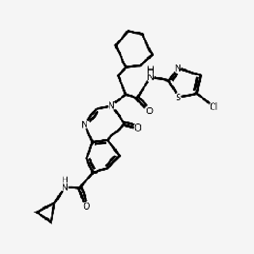 O=C(NC1CC1)c1ccc2c(=O)n(C(CC3CCCCC3)C(=O)Nc3ncc(Cl)s3)cnc2c1